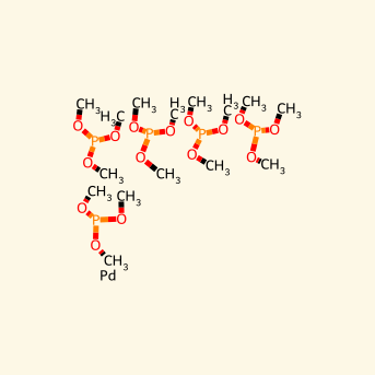 COP(OC)OC.COP(OC)OC.COP(OC)OC.COP(OC)OC.COP(OC)OC.[Pd]